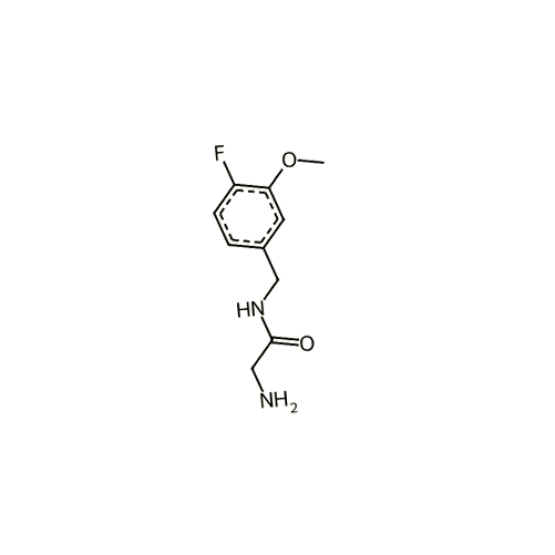 COc1cc(CNC(=O)CN)ccc1F